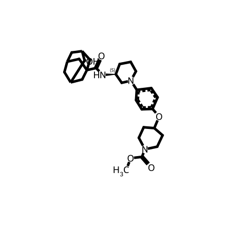 COC(=O)N1CCC(Oc2ccc(N3CCC[C@H](NC(=O)C45CC6CC(C4)C(O)C(C6)C5)C3)cc2)CC1